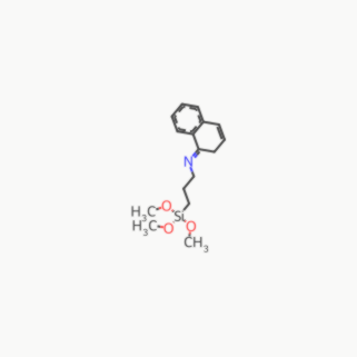 CO[Si](CCCN=C1CC=Cc2ccccc21)(OC)OC